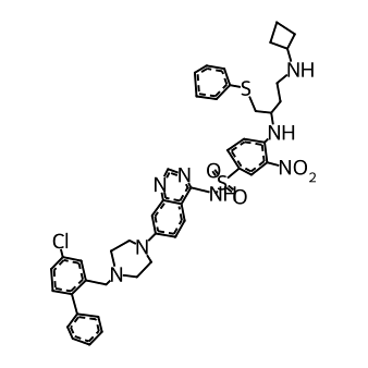 O=[N+]([O-])c1cc(S(=O)(=O)Nc2ncnc3cc(N4CCN(Cc5cc(Cl)ccc5-c5ccccc5)CC4)ccc23)ccc1NC(CCNC1CCC1)CSc1ccccc1